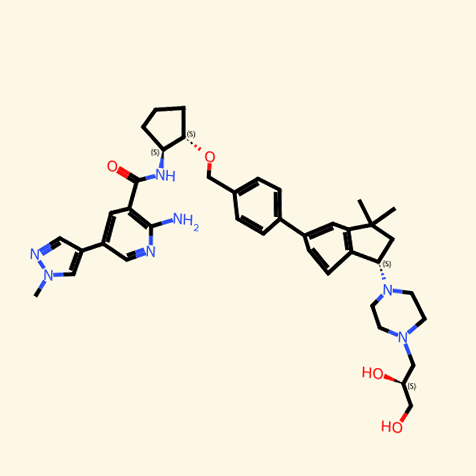 Cn1cc(-c2cnc(N)c(C(=O)N[C@H]3CCC[C@@H]3OCc3ccc(-c4ccc5c(c4)C(C)(C)C[C@@H]5N4CCN(C[C@H](O)CO)CC4)cc3)c2)cn1